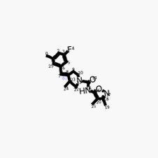 Cc1cc(F)cc(/C=C2\CCN(C(=O)Nc3onc(C)c3C)CC2C)c1